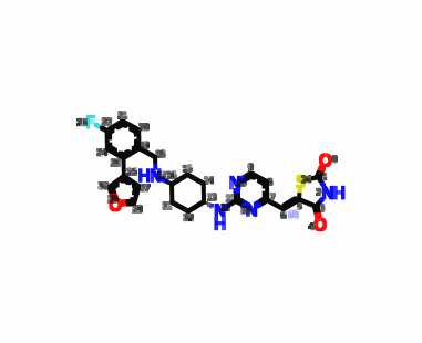 O=C1NC(=O)/C(=C/c2ccnc(N[C@H]3CC[C@H](NCc4ccc(F)cc4-c4ccoc4)CC3)n2)S1